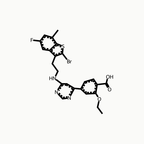 CCOc1cc(-c2cc(NCCc3c(Br)sc4c(C)cc(F)cc34)ncn2)ccc1C(=O)O